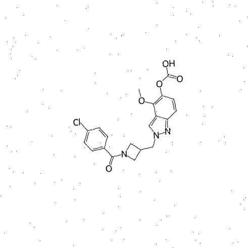 COc1c(OC(=O)O)ccc2nn(CC3CN(C(=O)c4ccc(Cl)cc4)C3)cc12